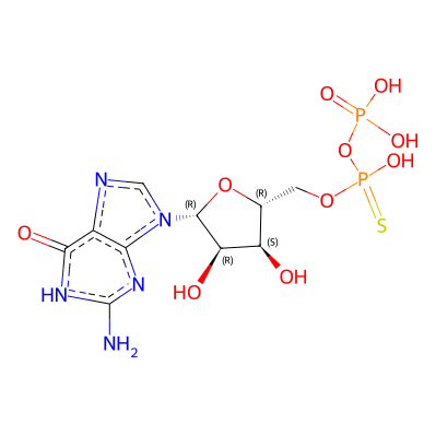 Nc1nc2c(ncn2[C@@H]2O[C@H](COP(O)(=S)OP(=O)(O)O)[C@@H](O)[C@H]2O)c(=O)[nH]1